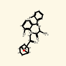 NC1N=C(c2ccccc2F)c2cccc(Cl)c2N(CC(=O)N2CC3CCC(CC3)C2)C1=O